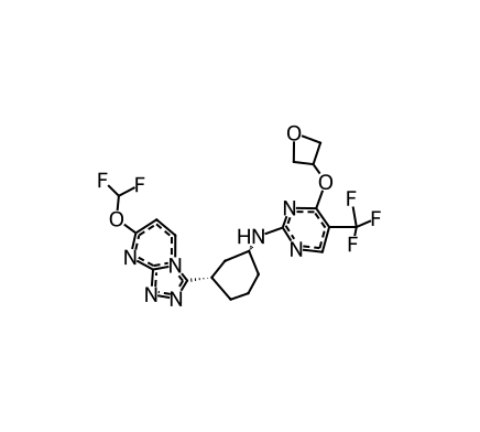 FC(F)Oc1ccn2c([C@H]3CCC[C@@H](Nc4ncc(C(F)(F)F)c(OC5COC5)n4)C3)nnc2n1